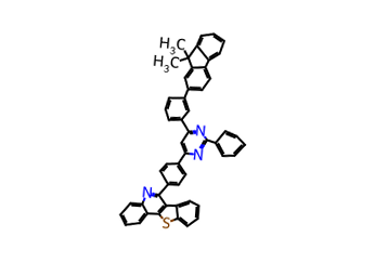 CC1(C)c2ccccc2-c2ccc(-c3cccc(-c4cc(-c5ccc(-c6nc7ccccc7c7sc8ccccc8c67)cc5)nc(-c5ccccc5)n4)c3)cc21